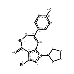 CCc1nn(C2CCCC2)c2c1C(=O)NCC(c1ccc(Cl)cc1)=N2